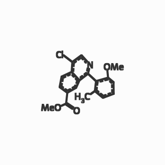 COC(=O)c1ccc2c(Cl)cnc(-c3c(C)cccc3OC)c2c1